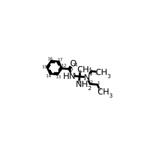 CCCN(CC)C(C)(N)NC(=O)c1ccccc1